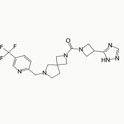 O=C(N1CC(c2ncn[nH]2)C1)N1CC2(CCN(Cc3ccc(C(F)(F)F)cn3)C2)C1